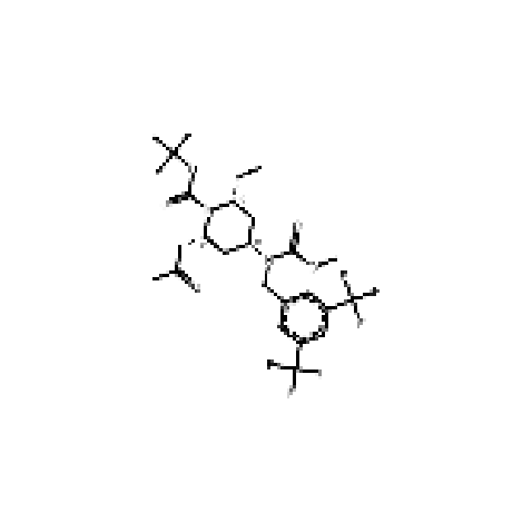 CC[C@@H]1C[C@H](N(Cc2cc(C(F)(F)F)cc(C(F)(F)F)c2)C(=O)OC)C[C@H](CC(C)=O)N1C(=O)OC(C)(C)C